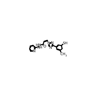 CC1=CC(c2ncn(/C=C\C(=O)NNc3ccccn3)n2)=CC(S)C1